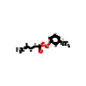 C=CCCC(=O)OOc1cccc(C(F)(F)F)c1